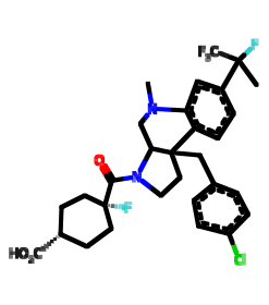 CN1CC2N(C(=O)[C@]3(F)CC[C@@H](C(=O)O)CC3)CCC2(Cc2ccc(Cl)cc2)c2ccc(C(C)(F)C(F)(F)F)cc21